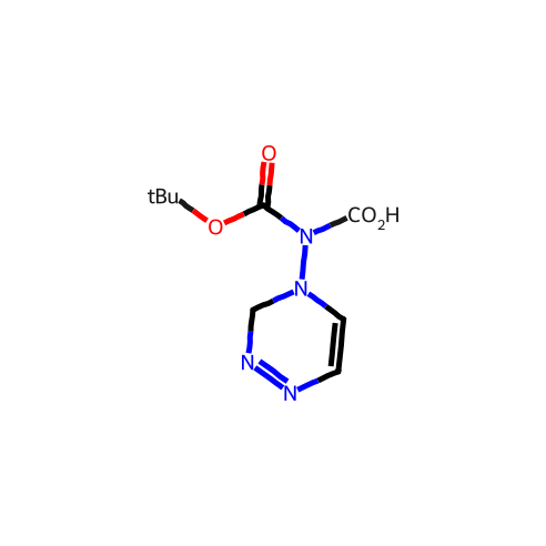 CC(C)(C)OC(=O)N(C(=O)O)N1C=CN=NC1